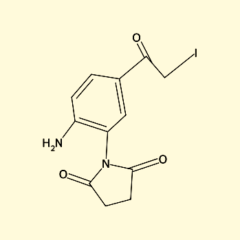 Nc1ccc(C(=O)CI)cc1N1C(=O)CCC1=O